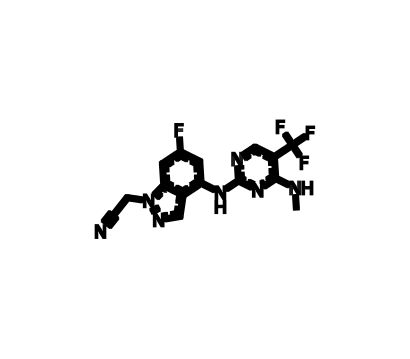 CNc1nc(Nc2cc(F)cc3c2cnn3CC#N)ncc1C(F)(F)F